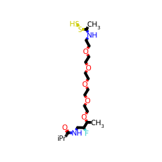 CC(NCCOCCOCCOCCOCCOC(C)C(F)CNC(=O)C(C)C)SS